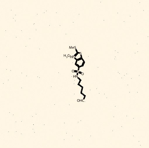 CSC1=[PH](C)c2cc(S(=O)(=O)NCCCCCC=O)ccc2S1